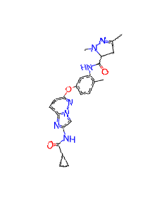 CC1=NN(C)C(C(=O)Nc2cc(Oc3ccc4nc(NC(=O)C5CC5)cn4n3)ccc2C)C1